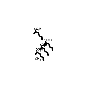 C=CCCC(=C)C(=O)O.C=CCCC(=C)C(=O)O.C=CCCC(=C)C(=O)O.C=CCCC(=C)C(=O)O.[SiH4]